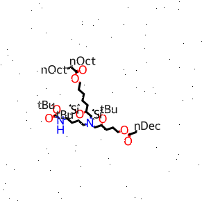 CCCCCCCCCCCC(=O)OCCCC(CN(CCCCNC(=O)OC(C)(C)C)CC(CCCCCOC(=O)C(CCCCCCCC)CCCCCCCC)O[Si](C)(C)C(C)(C)C)O[Si](C)(C)C(C)(C)C